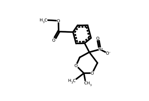 COC(=O)c1cccc(C2([N+](=O)[O-])COC(C)(C)OC2)c1